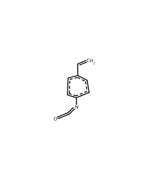 C=Cc1ccc(N=C=O)cc1